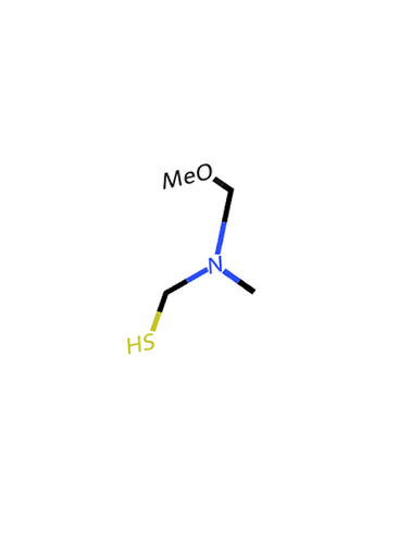 COCN(C)CS